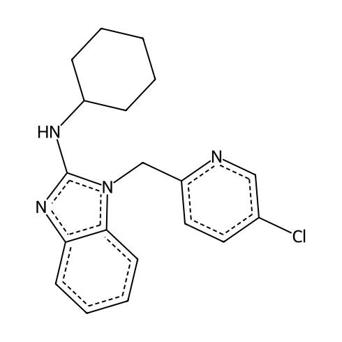 Clc1ccc(Cn2c(NC3CCCCC3)nc3ccccc32)nc1